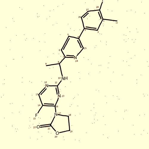 Cc1cc(-c2ccc(C(C)Nc3ncc(F)c(N4CCOC4=O)n3)nc2)ccc1F